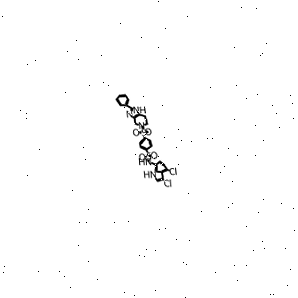 O=S(=O)(Nc1ccc(Cl)c2c(Cl)c[nH]c12)c1ccc(S(=O)(=O)N2CCc3[nH]c(-c4ccccc4)nc3C2)cc1